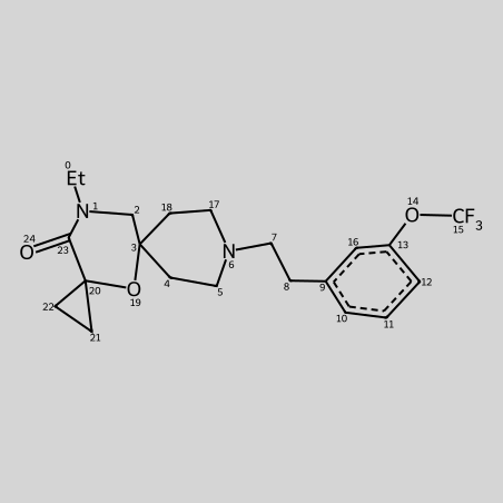 CCN1CC2(CCN(CCc3cccc(OC(F)(F)F)c3)CC2)OC2(CC2)C1=O